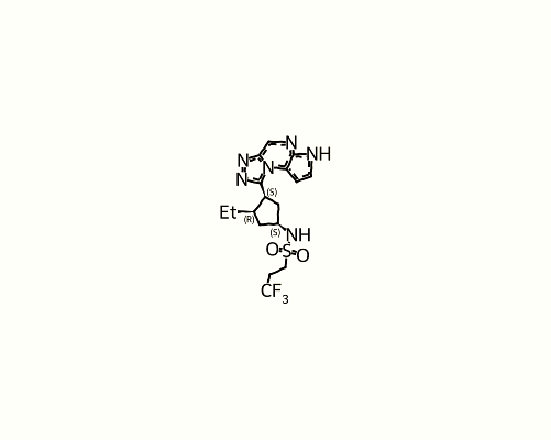 CC[C@@H]1C[C@H](NS(=O)(=O)CCC(F)(F)F)C[C@@H]1c1nnc2cnc3[nH]ccc3n12